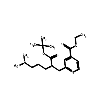 CCOC(=O)c1ccnc(CN(CCCN(C)C)C(=O)OC(C)(C)C)c1